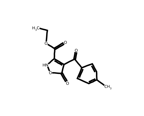 CCOC(=O)c1[nH]oc(=O)c1C(=O)c1ccc(C)cc1